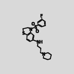 O=S(=O)(c1cccc(F)c1)N1CCSc2ccc(NCCCN3CCCCC3)cc21